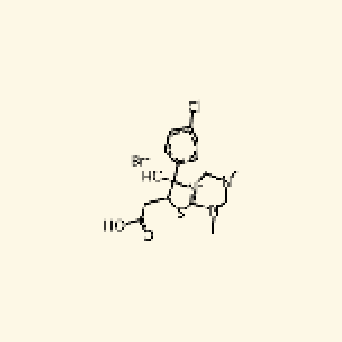 CN1CN(C)C2=[N+](C1)C(O)(c1ccc(Cl)cc1)C(CC(=O)O)S2.[Br-]